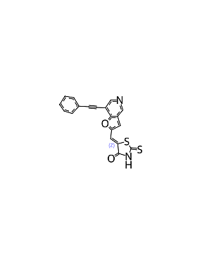 O=C1NC(=S)S/C1=C\c1cc2cncc(C#Cc3ccccc3)c2o1